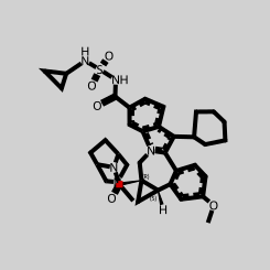 COc1ccc2c(c1)[C@@H]1C[C@]1(C(=O)N1C3CCC1CN(C)C3)Cn1c-2c(C2CCCCC2)c2ccc(C(=O)NS(=O)(=O)NC3CC3)cc21